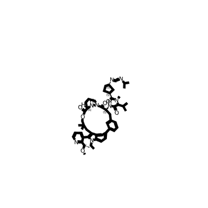 CCn1c(-c2cccnc2[C@H](C)OC)c2c3cc(ccc31)-c1cccc(c1)C[C@H](NC(=O)C(C(C)C)N(C)C(=O)[C@H]1CC[C@H](N=C=NC(C)C)C1)C(=O)N1CCC[C@H](N1)C(=O)OCC(C)(C)C2